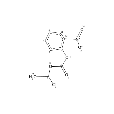 CC(Cl)OC(=O)Oc1ccccc1[N+](=O)[O-]